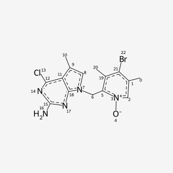 Cc1c[n+]([O-])c(Cn2cc(C)c3c(Cl)nc(N)nc32)c(C)c1Br